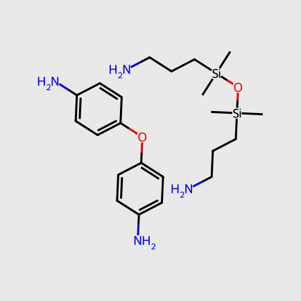 C[Si](C)(CCCN)O[Si](C)(C)CCCN.Nc1ccc(Oc2ccc(N)cc2)cc1